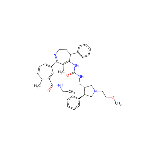 CCNC(=O)C1=CC(C2=NCCC(c3ccccc3)C(NC(=O)NC[C@@H]3CN(CCOC)C[C@H]3c3ccccc3)=C2C)=CC=CC1C